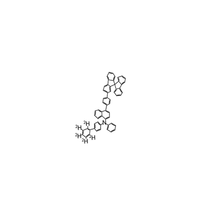 [2H]c1c([2H])c([2H])c(-c2ccc(N(c3ccccc3)c3ccc(-c4ccc(-c5ccc6c(c5)C5(c7ccccc7-c7ccccc75)c5ccccc5-6)cc4)c4ccccc34)cc2)c([2H])c1[2H]